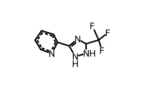 FC(F)(F)C1N=C(c2ccccn2)NN1